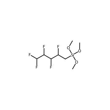 CO[Si](CC(F)C(F)C(F)C(F)F)(OC)OC